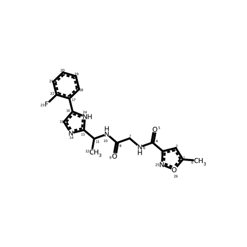 Cc1cc(C(=O)NCC(=O)NC(C)c2ncc(-c3ccccc3F)[nH]2)no1